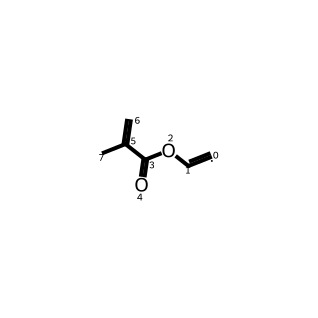 [CH]=COC(=O)C(=C)C